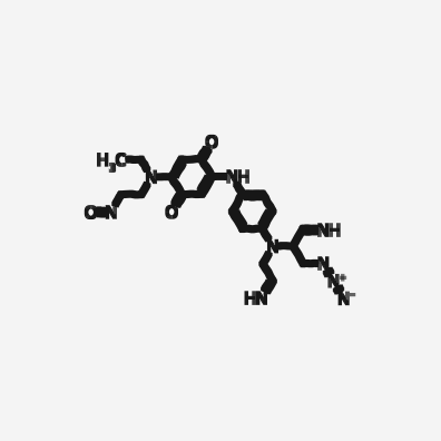 CCN(CCN=O)C1=CC(=O)C(Nc2ccc(N(CC=N)C(C=N)CN=[N+]=[N-])cc2)=CC1=O